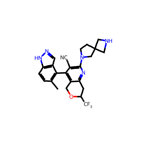 Cc1ccc2[nH]ncc2c1-c1c(C#N)c(N2CCC3(CNC3)C2)nc2c1COC(C(F)(F)F)C2